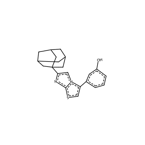 Oc1cccc(-c2csc3nc(C45CC6CC(CC(C6)C4)C5)cn23)c1